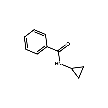 O=C(NC1CC1)c1[c]cccc1